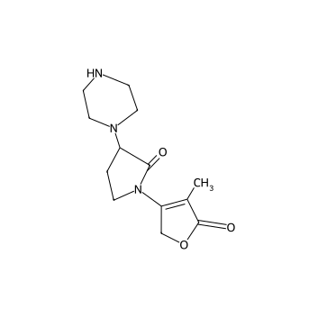 CC1=C(N2CCC(N3CCNCC3)C2=O)COC1=O